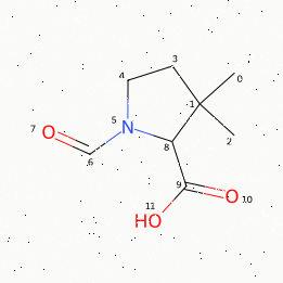 CC1(C)CCN(C=O)C1C(=O)O